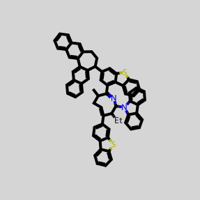 CCC1/C(c2ccc3c(c2)sc2ccccc23)=C/CC(C)/C(c2cc(C3CCc4cc5ccccc5cc4-c4cc5ccccc5cc43)cc3sc4ccccc4c23)=N\C1n1c2ccccc2c2ccccc21